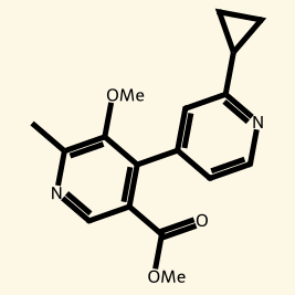 COC(=O)c1cnc(C)c(OC)c1-c1ccnc(C2CC2)c1